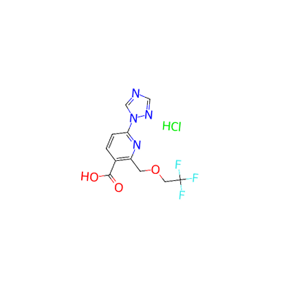 Cl.O=C(O)c1ccc(-n2cncn2)nc1COCC(F)(F)F